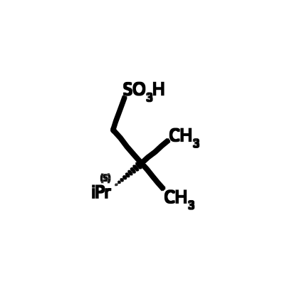 [CH2][C@@H](C)C(C)(C)CS(=O)(=O)O